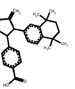 C=C1CCC(c2ccc(C(=O)O)cc2)C1c1ccc2c(c1)C(C)(C)CCC2(C)C